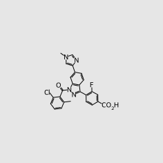 Cc1cccc(Cl)c1C(=O)n1nc(-c2ccc(C(=O)O)cc2F)c2ccc(-c3cn(C)cn3)cc21